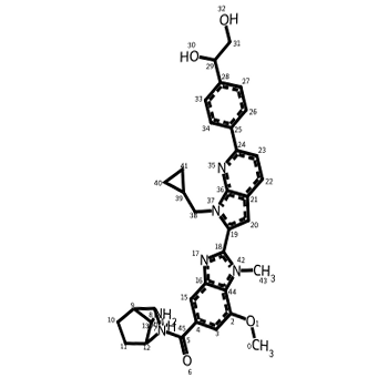 COc1cc(C(=O)N2CC3CCC2[C@@H]3N)cc2nc(-c3cc4ccc(-c5ccc(C(O)CO)cc5)nc4n3CC3CC3)n(C)c12